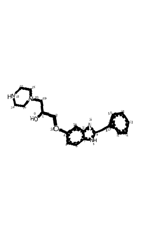 OC(COc1ccc2[nH]c(-c3ccccc3)nc2c1)CN1CCNCC1